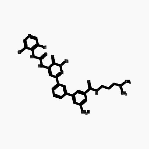 CCn1nc(-c2cccc(-c3cc(C(=O)O)cc(C(=O)NCCCN(C)C)c3)c2)cc(NC(=O)Nc2c(Cl)cncc2Cl)c1=O